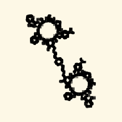 CCC1(C)NC(=O)[C@@H](NC(=O)c2ncccc2O)[C@@H](C)OC(=O)[C@H](c2ccccc2)NC(=O)[C@@H]2CC(=O)C(CSCCN3CCN(CCSCC4CN5C(=O)[C@H](Cc6ccc(N(C)C)cc6)N(C)C(=O)[C@@H]6CCCN6C(=O)C(C)(CC)NC(=O)[C@@H](NC(=O)c6ncccc6O)[C@@H](C)OC(=O)[C@H](c6ccccc6)NC(=O)[C@@H]5CC4=O)CC3)CN2C(=O)[C@H](Cc2ccc(N(C)C)cc2)N(C)C(=O)[C@@H]2CCCN2C1=O